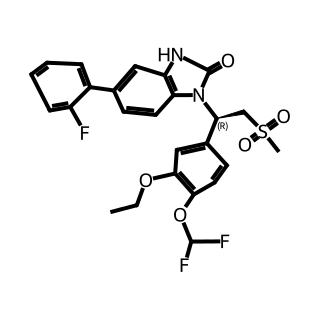 CCOc1cc([C@H](CS(C)(=O)=O)n2c(=O)[nH]c3cc(-c4ccccc4F)ccc32)ccc1OC(F)F